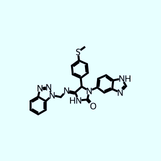 CSc1ccc(C2/C(=N/Cn3nnc4ccccc43)NC(=O)N2c2ccc3[nH]cnc3c2)cc1